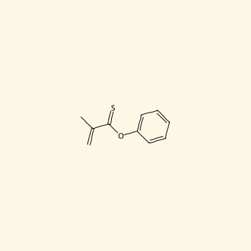 C=C(C)C(=S)Oc1ccccc1